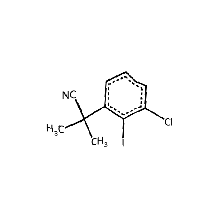 CC(C)(C#N)c1cccc(Cl)c1I